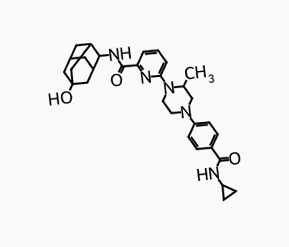 CC1CN(c2ccc(C(=O)NC3CC3)cc2)CCN1c1cccc(C(=O)NC2C3CC4CC2CC(O)(C4)C3)n1